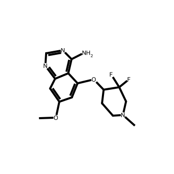 COc1cc(OC2CCN(C)CC2(F)F)c2c(N)ncnc2c1